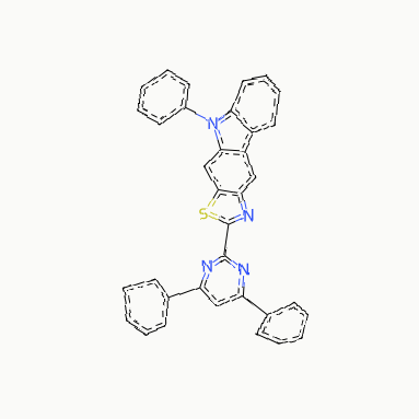 c1ccc(-c2cc(-c3ccccc3)nc(-c3nc4cc5c6ccccc6n(-c6ccccc6)c5cc4s3)n2)cc1